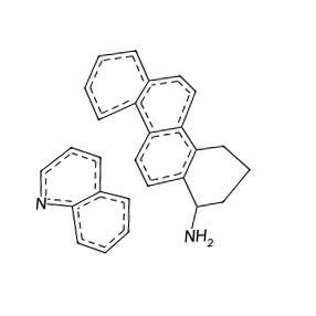 NC1CCCc2c1ccc1c2ccc2ccccc21.c1ccc2ncccc2c1